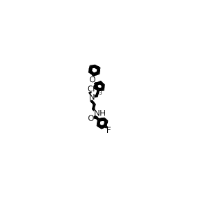 CCN(CCCNC(=O)c1ccc(F)cc1)Cc1cccc(Oc2ccccc2)c1